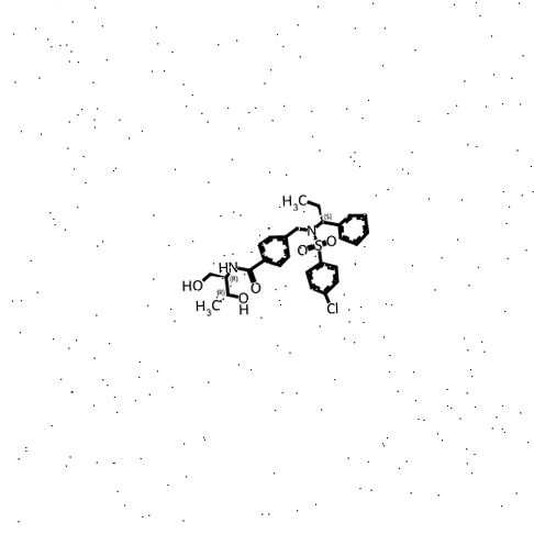 CC[C@@H](c1ccccc1)N(Cc1ccc(C(=O)N[C@H](CO)[C@@H](C)O)cc1)S(=O)(=O)c1ccc(Cl)cc1